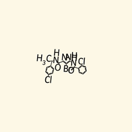 C[C@@H](NC(=O)c1n[nH]c(NC(=O)c2ccccc2Cl)c1Br)c1ccc(Cl)cc1